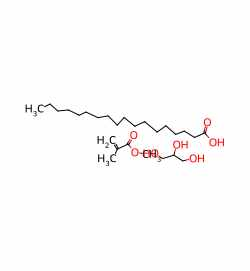 C=C(C)C(=O)OC.CCCCCCCCCCCCCCCCCC(=O)O.OCC(O)CO